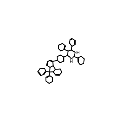 C1=CCCC(C2(C3=CCCCC3)C3C=CCCC3C3C(C4CC=C(C5NC(C6=CCCCC6)NC(C6C=CC=CC6)C5C5=CCCCC5)CC4)=CC=CC32)=C1